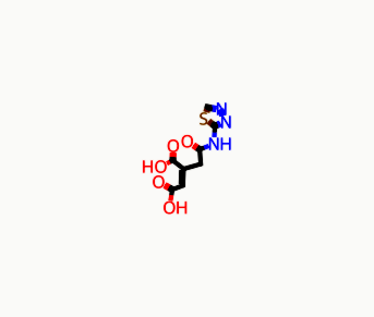 O=C(O)C=C(CC(=O)Nc1nncs1)C(=O)O